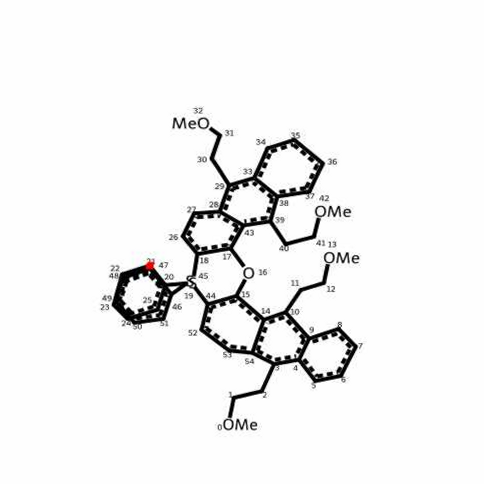 COCCc1c2ccccc2c(CCOC)c2c(Oc3c(Sc4ccccc4)ccc4c(CCOC)c5ccccc5c(CCOC)c34)c(Sc3ccccc3)ccc12